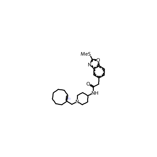 CSc1nc2cc(CC(=O)NC3CCN(C/C4=C/CCCCCC4)CC3)ccc2o1